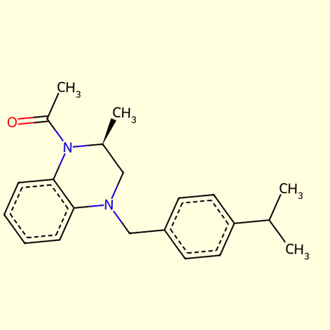 CC(=O)N1c2ccccc2N(Cc2ccc(C(C)C)cc2)C[C@@H]1C